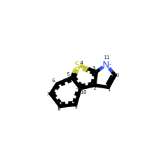 C1=Cc2c(sc3ccccc23)[N]1